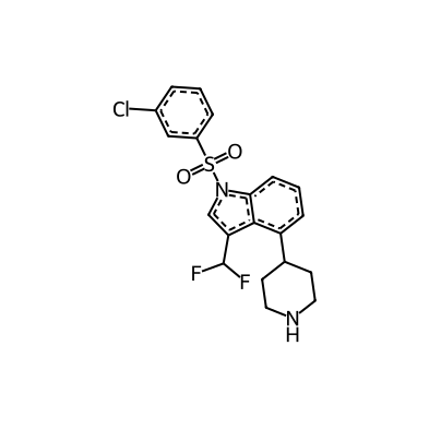 O=S(=O)(c1cccc(Cl)c1)n1cc(C(F)F)c2c(C3CCNCC3)cccc21